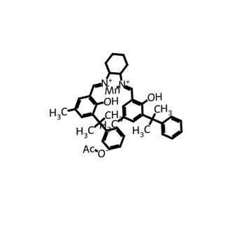 CC(=O)[O-].Cc1cc(C=[N+]2[Mn][N+](=Cc3cc(C)cc(C(C)(C)c4ccccc4)c3O)C3CCCCC32)c(O)c(C(C)(C)c2ccccc2)c1